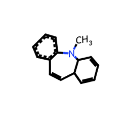 CN1c2ccccc2C=CC2C=CC=CC21